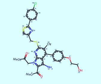 COC(=O)Cn1c(C(=O)OC)c(N)c2c(-c3ccc(OCCO)cc3)c(C#N)c(SCc3csc(-c4ccc(Cl)cc4)n3)nc21